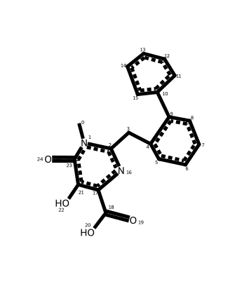 Cn1c(Cc2ccccc2-c2ccccc2)nc(C(=O)O)c(O)c1=O